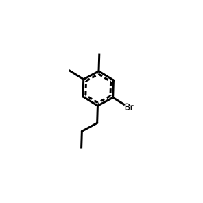 CCCc1cc(C)c(C)cc1Br